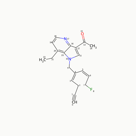 C#CC/C=C(\C=C/CF)Cn1cc(C(C)=O)c2nccc(CC)c21